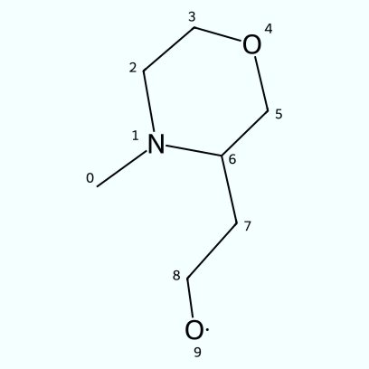 CN1CCOCC1CC[O]